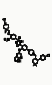 CC1(C)CCC(CN2CCN(c3ccc(C(=O)NS(=O)(=O)c4ccc(OCC5(F)CCN(C6CC6)CC5)c([N+](=O)[O-])c4)c(Oc4cnc5[nH]ccc5c4)c3)CC2)=C(c2ccc(Cl)cc2)C1